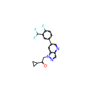 O=C(Cn1ncc2ncc(-c3ccc(F)c(C(F)F)c3)cc21)C1CC1